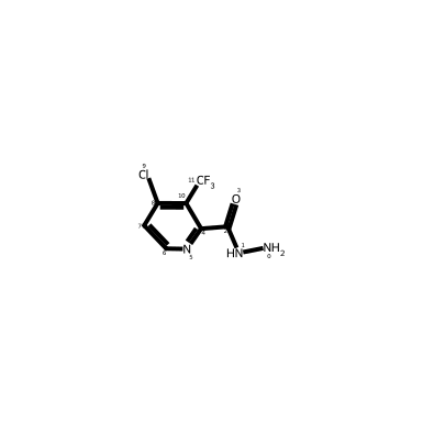 NNC(=O)c1nccc(Cl)c1C(F)(F)F